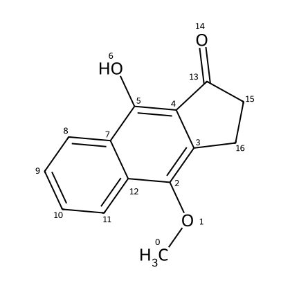 COc1c2c(c(O)c3ccccc13)C(=O)CC2